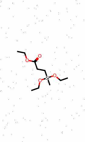 CCOC(=O)CC[Si](C)(OCC)OCC